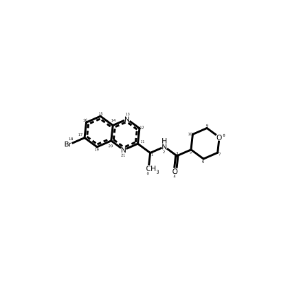 CC(NC(=O)C1CCOCC1)c1cnc2ccc(Br)cc2n1